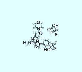 Cc1ccc(C(C)(O)C(F)(F)F)cc1-c1cnc2c(N)nc(CC(=O)N3CCOCC3)cn12.O=C(O)C(F)(F)F